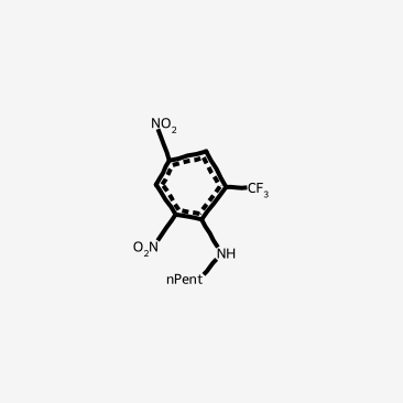 CCCCCNc1c([N+](=O)[O-])cc([N+](=O)[O-])cc1C(F)(F)F